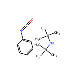 C[Si](C)(C)N[Si](C)(C)C.O=C=Nc1ccccc1